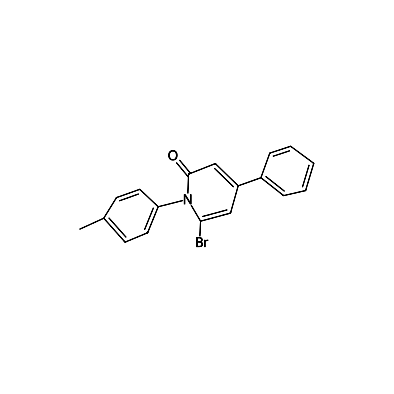 Cc1ccc(-n2c(Br)cc(-c3ccccc3)cc2=O)cc1